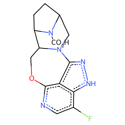 O=C(O)N1C2CCC1C1COc3ncc(F)c4[nH]nc(c34)N1C2